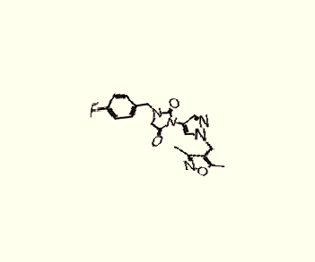 Cc1noc(C)c1Cn1cc(N2C(=O)CN(Cc3ccc(F)cc3)C2=O)cn1